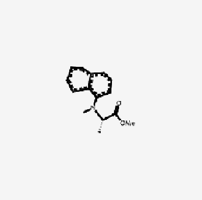 COC(=O)[C@H](C)N(C)c1cccc2ccccc12